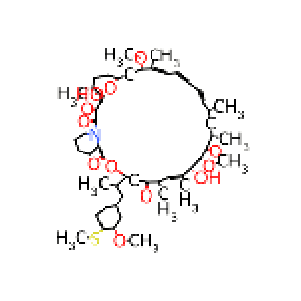 CO[C@H]1CC2CC[C@@H](C)[C@@](O)(O2)C(=O)C(=O)N2CCCCC2C(=O)O[C@H]([C@H](C)C[C@@H]2CCC(SC)[C@H](OC)C2)CC(=O)[C@H](C)/C=C(\C)[C@@H](O)[C@@H](OC)C(=O)[C@H](C)C[C@H](C)/C=C/C=C/C=C/1C